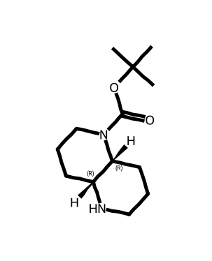 CC(C)(C)OC(=O)N1CCC[C@H]2NCCC[C@H]21